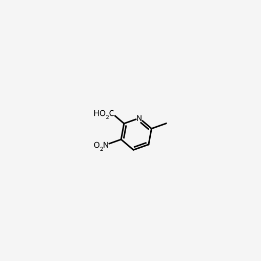 Cc1ccc([N+](=O)[O-])c(C(=O)O)n1